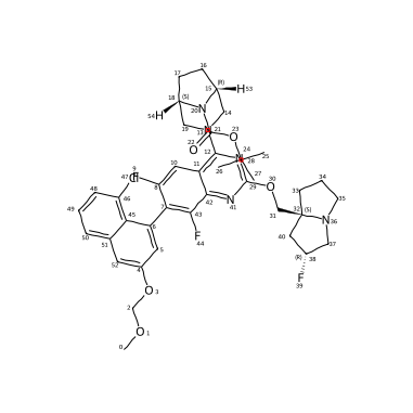 COCOc1cc(-c2c(F)cc3c(N4C[C@H]5CC[C@@H](C4)N5C(=O)OC(C)(C)C)nc(OC[C@@]45CCCN4C[C@H](F)C5)nc3c2F)c2c(Cl)cccc2c1